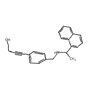 CC(NCc1ccc(C#CCO)cc1)c1cccc2ccccc12